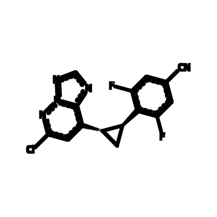 N#Cc1cc(F)c([C@H]2C[C@@H]2c2cc(Cl)nn3ncnc23)c(F)c1